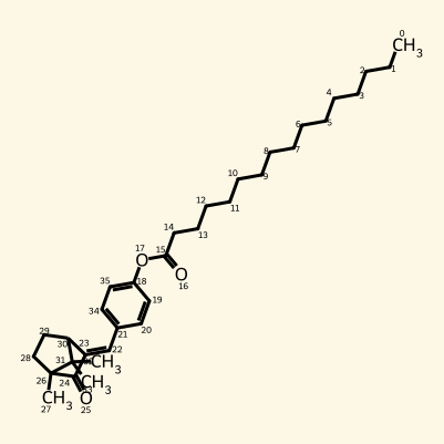 CCCCCCCCCCCCCCCC(=O)Oc1ccc(C=C2C(=O)C3(C)CCC2C3(C)C)cc1